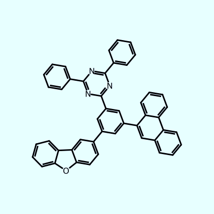 c1ccc(-c2nc(-c3ccccc3)nc(-c3cc(-c4ccc5oc6ccccc6c5c4)cc(-c4cc5ccccc5c5ccccc45)c3)n2)cc1